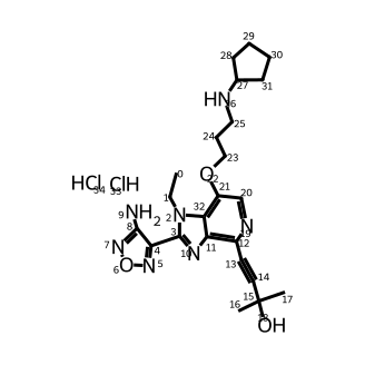 CCn1c(-c2nonc2N)nc2c(C#CC(C)(C)O)ncc(OCCCNC3CCCC3)c21.Cl.Cl